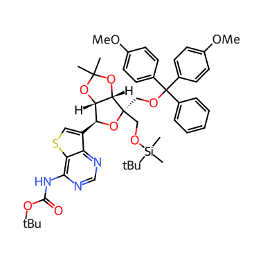 COc1ccc(C(OC[C@]2(CO[Si](C)(C)C(C)(C)C)O[C@@H](c3csc4c(NC(=O)OC(C)(C)C)ncnc34)[C@@H]3OC(C)(C)O[C@@H]32)(c2ccccc2)c2ccc(OC)cc2)cc1